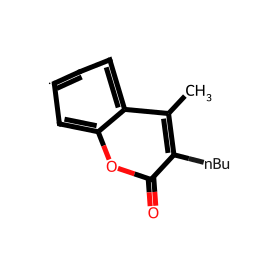 CCCCc1c(C)c2cc[c]cc2oc1=O